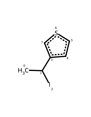 CC(I)c1ccsc1